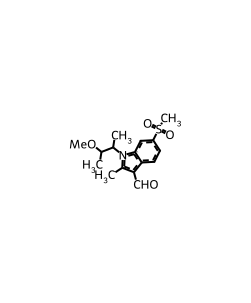 COC(C)C(C)n1c(C)c(C=O)c2ccc(S(C)(=O)=O)cc21